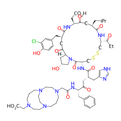 CCC(=O)[C@@H]1CSSC[C@H](NC(=O)[C@@H](CC(=O)[C@H](Cc2ccccc2)NC(=O)CN2CCCN3CCN(CCCN(CC(=O)O)CC3)CC2)Cc2c[nH]cn2)C(=O)N2C[C@H](O)C[C@H]2C(=O)C[C@@H](Cc2ccc(O)c(Cl)c2)C(=O)N[C@@H](CC(=O)O)C(=O)C[C@@H](CC(C)C)C(=O)N1